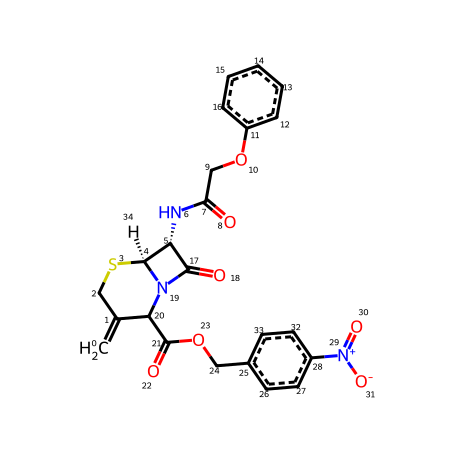 C=C1CS[C@H]2[C@H](NC(=O)COc3ccccc3)C(=O)N2C1C(=O)OCc1ccc([N+](=O)[O-])cc1